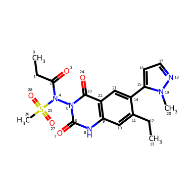 CCC(=O)N(n1c(=O)[nH]c2cc(CC)c(-c3ccnn3C)cc2c1=O)S(C)(=O)=O